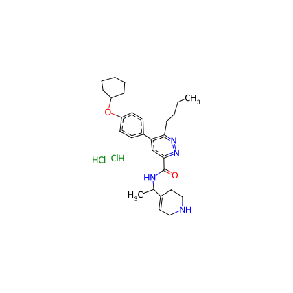 CCCCc1nnc(C(=O)NC(C)C2=CCNCC2)cc1-c1ccc(OC2CCCCC2)cc1.Cl.Cl